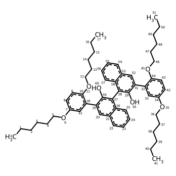 CCCCCCOc1ccc(OCCCCCC)c(-c2cc3ccccc3c(-c3c(O)c(-c4cc(OCCCCCC)ccc4OCCCCCC)cc4ccccc34)c2O)c1